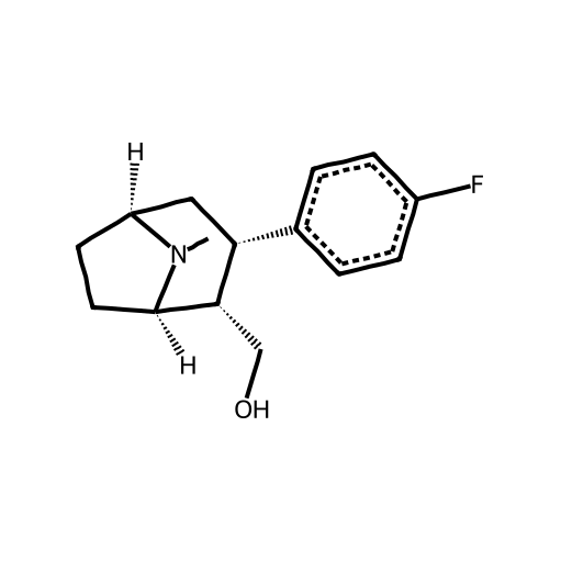 CN1[C@H]2CC[C@@H]1[C@@H](CO)[C@@H](c1ccc(F)cc1)C2